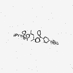 CCCCc1ccc(C(=O)OC(C)CC(C)OC(=O)N(C(C)C)C(C)C)cc1